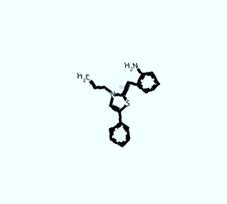 C=CCN1C=C(c2ccccc2)S/C1=C\c1ccccc1N